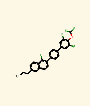 CCCc1ccc2c(F)c(-c3ccc(-c4cc(F)c(OC(F)F)c(F)c4)cc3)ccc2c1